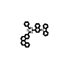 c1ccc(-c2nc(-c3ccc4c(ccc5ccc6ccccc6c54)c3)nc(-c3ccc(-n4c5ccccc5c5ccccc54)c4ccccc34)n2)cc1